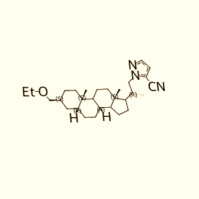 CCOC[C@H]1CC[C@]2(C)C3CC[C@@]4(C)C(CCC4[C@@H](C)Cn4nccc4C#N)[C@@H]3CC[C@@H]2C1